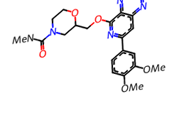 CNC(=O)N1CCOC(COc2nc(-c3ccc(OC)c(OC)c3)cc3nccnc23)C1